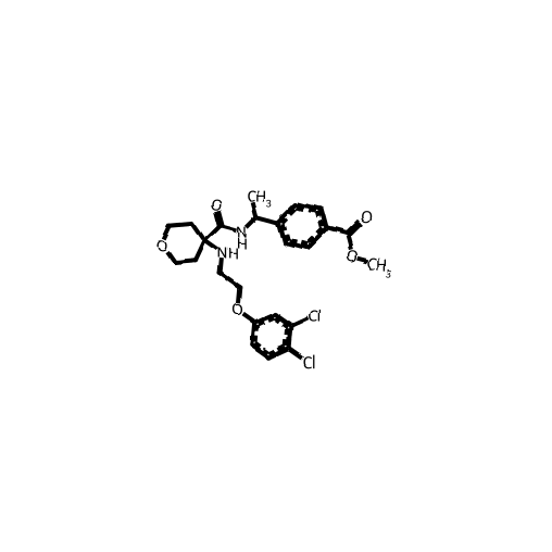 COC(=O)c1ccc(C(C)NC(=O)C2(NCCOc3ccc(Cl)c(Cl)c3)CCOCC2)cc1